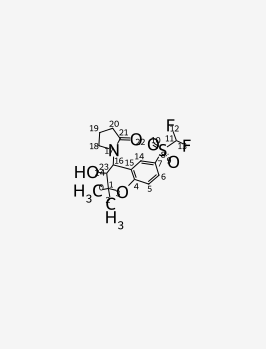 CC1(C)Oc2ccc(S(=O)(=O)C(F)F)cc2C(N2CCCC2=O)C1O